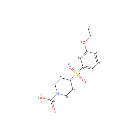 CCOc1cccc(S(=O)(=O)C2CCN(C(=O)O)CC2)c1